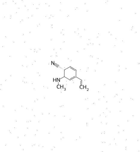 C=CC1=CC(NC)[C@H](C#N)C=C1